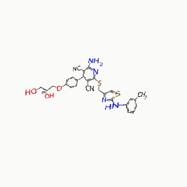 Cc1cccc(Nc2nc(CSc3nc(N)c(C#N)c(-c4ccc(OC[C@H](O)CO)cc4)c3C#N)cs2)c1